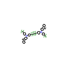 CC1(C)c2ccccc2-c2ccc(N(c3ccc(C(F)(F)F)cc3)c3ccc(C(F)(F)C(F)(F)C(F)(F)C(F)(F)c4ccc(N(c5ccc(C(F)(F)F)cc5)c5ccc6c(c5)C(C)(C)c5ccccc5-6)cc4)cc3)cc21